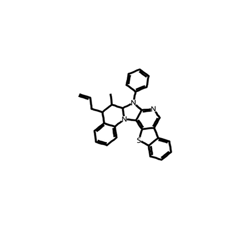 C=CCC1c2ccccc2N2c3c(ncc4c3sc3ccccc34)N(c3ccccc3)C2C1C